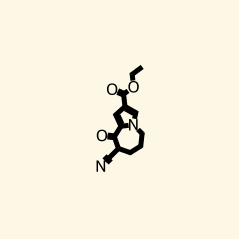 CCOC(=O)c1cc2n(c1)CCCC(C#N)C2=O